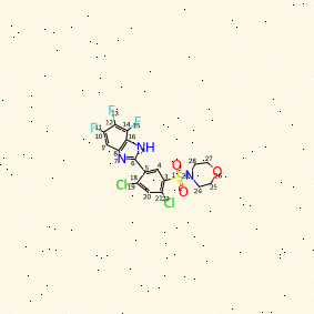 O=S(=O)(c1cc(-c2nc3cc(F)c(F)c(F)c3[nH]2)c(Cl)cc1Cl)N1CCOCC1